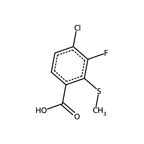 CSc1c(C(=O)O)ccc(Cl)c1F